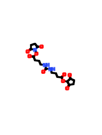 O=C(NCCCC(=O)OC1C(=O)CCC1=O)NCCCC(=O)ON1C(=O)CCC1=O